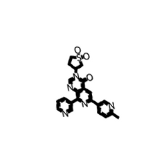 Cc1ccc(-c2cc3c(=O)n(C4CCS(=O)(=O)C4)cnc3c(-c3cccnc3)n2)cn1